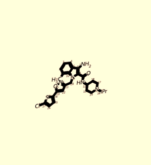 Cc1cccc2c(N)c(C(=O)NC3CCN(C(C)C)CC3)n(Cc3cc(-c4ccc(Cl)s4)on3)c12